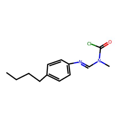 CCCCc1ccc(N=CN(C)C(=O)Cl)cc1